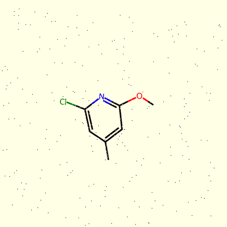 COc1[c]c(C)cc(Cl)n1